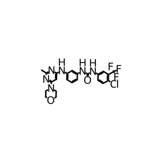 Cc1nc(Nc2cccc(NC(=O)Nc3ccc(Cl)c(C(F)(F)F)c3)c2)cc(N2CCOCC2)n1